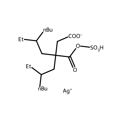 CCCCC(CC)CC(CC(=O)[O-])(CC(CC)CCCC)C(=O)OS(=O)(=O)O.[Ag+]